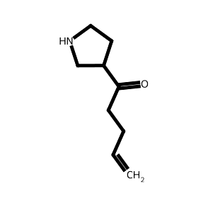 C=CCCC(=O)C1CCNC1